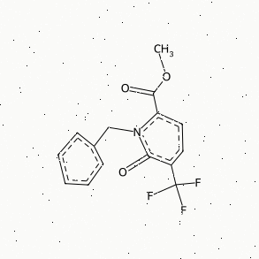 COC(=O)c1ccc(C(F)(F)F)c(=O)n1Cc1ccccc1